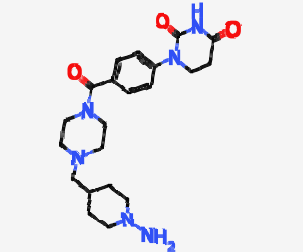 NN1CCC(CN2CCN(C(=O)c3ccc(N4CCC(=O)NC4=O)cc3)CC2)CC1